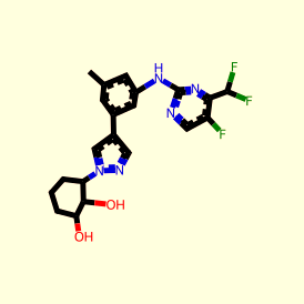 Cc1cc(Nc2ncc(F)c(C(F)F)n2)cc(-c2cnn(C3CCCC(O)C3O)c2)c1